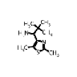 Cc1nc(C(N)C(C)(C)C)c(C)s1